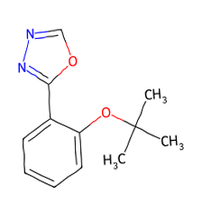 CC(C)(C)Oc1ccccc1-c1nnco1